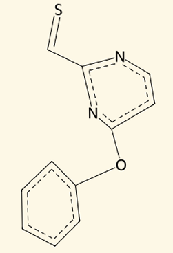 S=Cc1nccc(Oc2ccccc2)n1